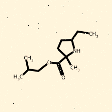 CCC1CCC(C)(C(=O)OCC(C)C)N1